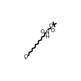 COCCCCCCCCCCCC(=O)NCC(=O)OC(C)(C)C